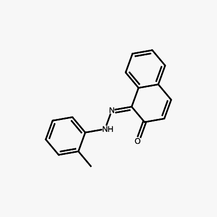 Cc1ccccc1N/N=C1\C(=O)C=Cc2ccccc21